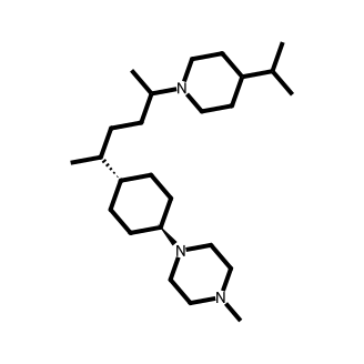 CC(C)C1CCN(C(C)CCC(C)[C@H]2CC[C@H](N3CCN(C)CC3)CC2)CC1